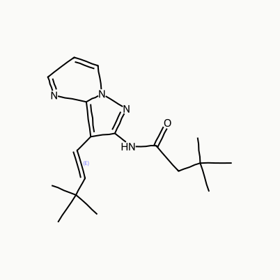 CC(C)(C)/C=C/c1c(NC(=O)CC(C)(C)C)nn2cccnc12